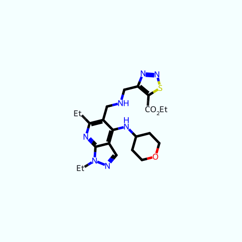 CCOC(=O)c1snnc1CNCc1c(CC)nc2c(cnn2CC)c1NC1CCOCC1